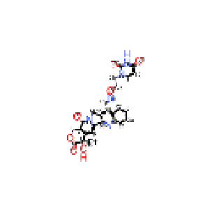 CC[C@@]1(O)C(=O)OCc2c1cc1n(c2=O)Cc2c-1nc1ccccc1c2C=NOCCn1ccc(=O)[nH]c1=O